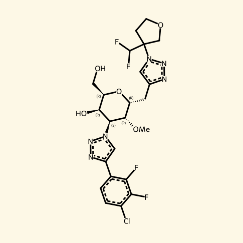 CO[C@@H]1[C@@H](n2cc(-c3ccc(Cl)c(F)c3F)nn2)[C@@H](O)[C@@H](CO)O[C@@H]1Cc1cn(C2(C(F)F)CCOC2)nn1